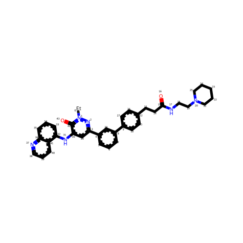 CCn1nc(-c2cccc(-c3ccc(CCC(=O)NCCN4CCCCC4)cc3)c2)cc(Nc2cccc3ncccc23)c1=O